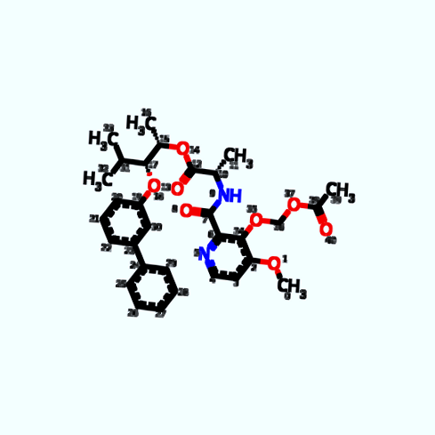 COc1ccnc(C(=O)N[C@@H](C)C(=O)O[C@@H](C)[C@H](Oc2cccc(-c3ccccc3)c2)C(C)C)c1OCOC(C)=O